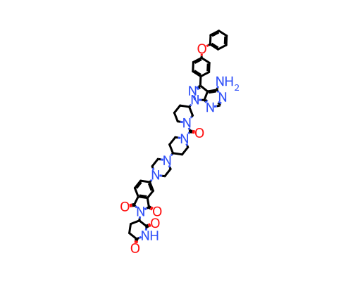 Nc1ncnc2c1c(-c1ccc(Oc3ccccc3)cc1)nn2C1CCCN(C(=O)N2CCC(N3CCN(c4ccc5c(c4)C(=O)N(C4CCC(=O)NC4=O)C5=O)CC3)CC2)C1